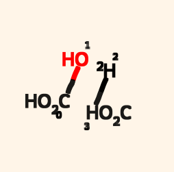 O=C(O)O.[2H]C(=O)O